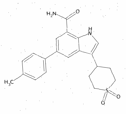 Cc1ccc(-c2cc(C(N)=O)c3[nH]cc(C4CCS(=O)(=O)CC4)c3c2)cc1